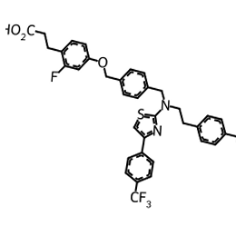 O=C(O)CCc1ccc(OCc2ccc(CN(CCc3ccc(F)cc3)c3nc(-c4ccc(C(F)(F)F)cc4)cs3)cc2)cc1F